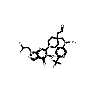 CN(CC1(CC=O)CCN(c2nc3c(cnn3CC(F)F)c(=O)n2C)CC1)c1ccc(C(F)(F)F)nc1